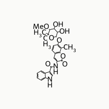 CO[C@@H]1[C@@H](O)[C@@H](O)[C@H](Oc2ccc3cc(NC(=O)c4c[nH]c5ccccc45)c(=O)oc3c2C)OC1(C)C